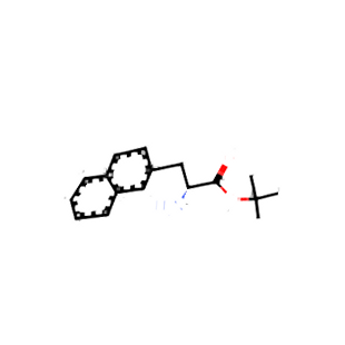 CC(C)(C)OC(=O)[C@@H](N)Cc1ccc2ccccc2c1